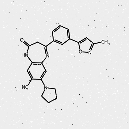 Cc1cc(-c2cccc(C3=Nc4cc(N5CCCC5)c(C#N)cc4NC(=O)C3)c2)on1